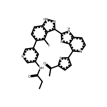 CCC(=O)Nc1cncc(-c2ccc3[nH]nc(-c4nc5c(-c6ccc(C(C)=O)s6)nccc5[nH]4)c3c2F)c1